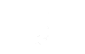 O=C(O)c1ccc(N2CC[C@@H](Nc3ncccn3)C2)cc1